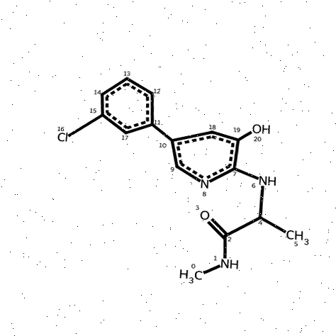 CNC(=O)C(C)Nc1ncc(-c2cccc(Cl)c2)cc1O